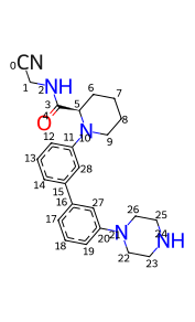 N#CCNC(=O)[C@H]1CCCCN1c1cccc(-c2cccc(N3CCNCC3)c2)c1